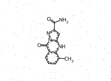 Cc1cccc2c(=O)n3nc(C(N)=O)cc3[nH]c12